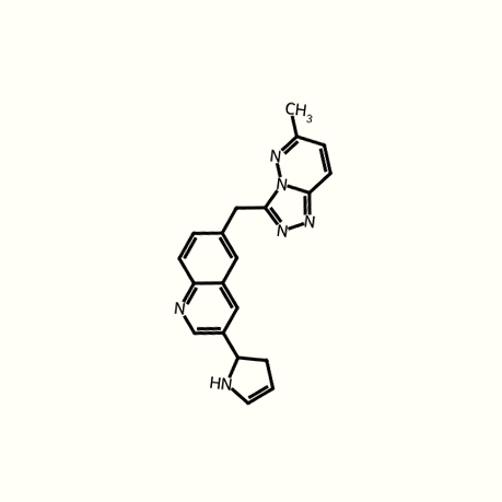 Cc1ccc2nnc(Cc3ccc4ncc(C5CC=CN5)cc4c3)n2n1